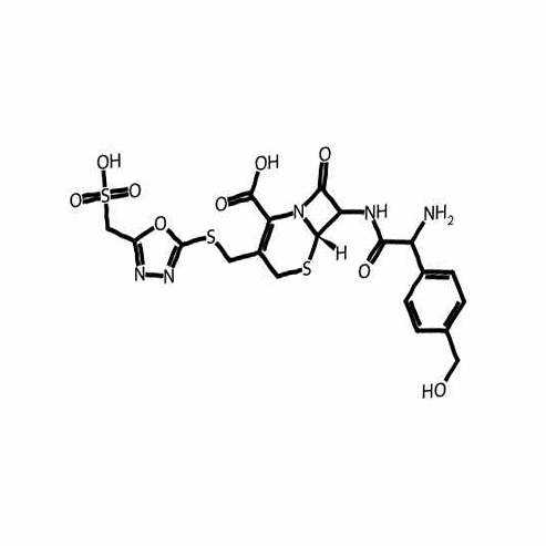 NC(C(=O)NC1C(=O)N2C(C(=O)O)=C(CSc3nnc(CS(=O)(=O)O)o3)CS[C@@H]12)c1ccc(CO)cc1